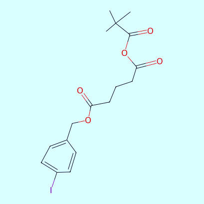 CC(C)(C)C(=O)OC(=O)CCCC(=O)OCc1ccc(I)cc1